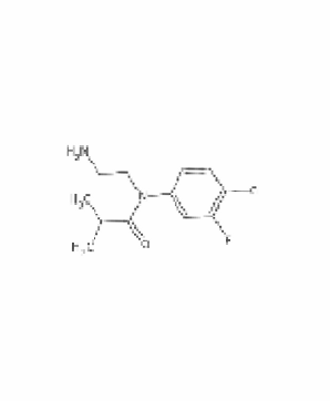 CC(C)C(=O)N(CCN)c1ccc(Cl)c(F)c1